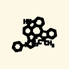 C[Si]1(C)c2ccccc2-c2c1n1c3ccn(-c4ccccc4)c3c3ccc4[nH]c5cccc2c5c4c31